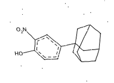 O=[N+]([O-])c1cc(C23CC4CC(CC(C4)C2)C3)ccc1O